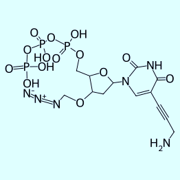 [N-]=[N+]=NCOC1CC(n2cc(C#CCN)c(=O)[nH]c2=O)OC1COP(=O)(O)OP(=O)(O)OP(=O)(O)O